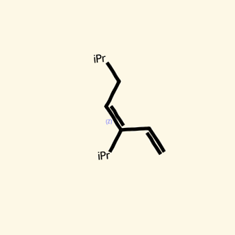 C=C/C(=C\CC(C)C)C(C)C